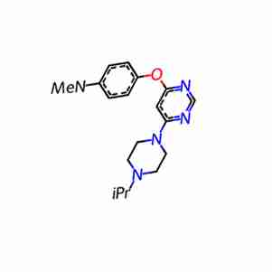 CNc1ccc(Oc2cc(N3CCN(C(C)C)CC3)ncn2)cc1